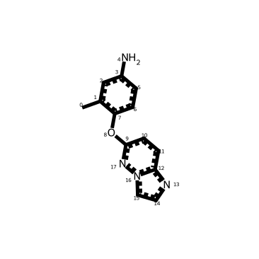 Cc1cc(N)ccc1Oc1ccc2nccn2n1